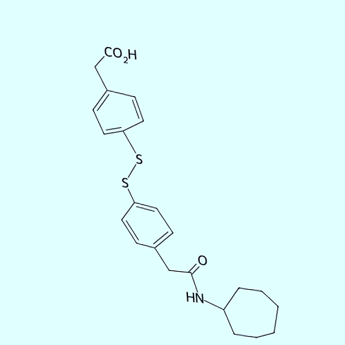 O=C(O)Cc1ccc(SSc2ccc(CC(=O)NC3CCCCCC3)cc2)cc1